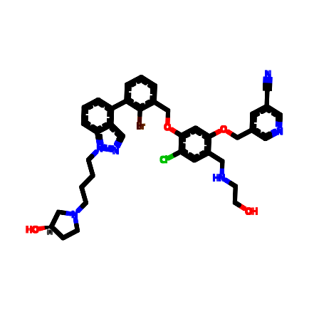 N#Cc1cncc(COc2cc(OCc3cccc(-c4cccc5c4cnn5CCCCN4CC[C@@H](O)C4)c3Br)c(Cl)cc2CNCCO)c1